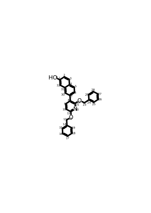 Oc1ccc2ccc(-c3ccc(OCc4ccccc4)nc3OCc3ccccc3)cc2c1